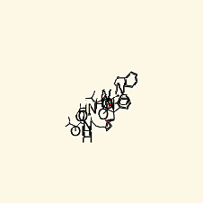 CC(C)C(O)C(=O)N[C@H]1Cc2ccc3c(c2)C2(c4ccccc4NC2O3)c2oc(nc2C(=O)N2CCc3ccccc32)[C@H](C(C)C)NC1=O